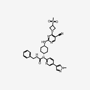 Cn1cc(-c2ccc(N(C(=O)NCc3ccccc3)[C@H]3CC[C@H](Nc4ncc(C#N)c(N5CC(S(C)(=O)=O)C5)n4)CC3)nc2)cn1